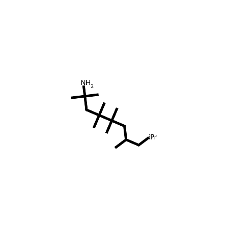 CC(C)CC(C)CC(C)(C)C(C)(C)CC(C)(C)N